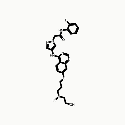 CCN(CCO)CCCOc1ccc2c(Nc3cnn(CC(=O)Nc4ccccc4F)c3)ncnc2c1